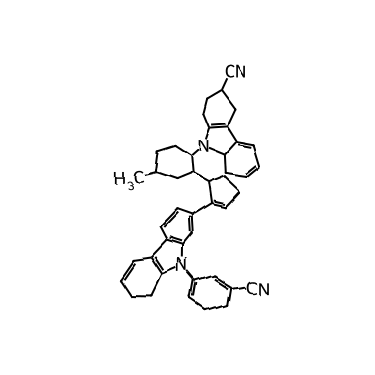 CC1CCC(N2C3=C(CC(C#N)CC3)C3=CC=CCC32)C(C2CCC=C2c2ccc3c4c(n(C5=CCCC(C#N)=C5)c3c2)CCC=C4)C1